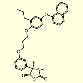 CCCc1cc(Oc2cccc3ccccc23)ccc1OCCCOc1cccc(C2(F)NC(=O)SC2=O)c1